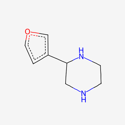 c1cc(C2CNCCN2)co1